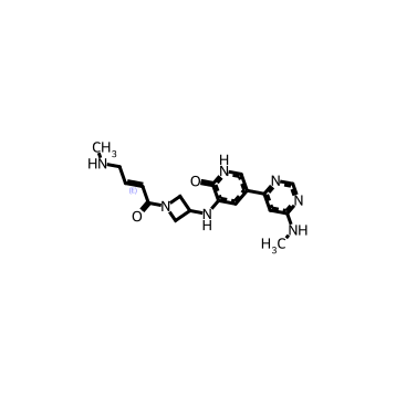 CNC/C=C/C(=O)N1CC(Nc2cc(-c3cc(NC)ncn3)c[nH]c2=O)C1